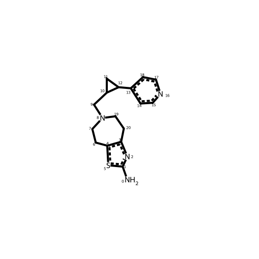 Nc1nc2c(s1)CCN(CC1CC1c1ccncc1)CC2